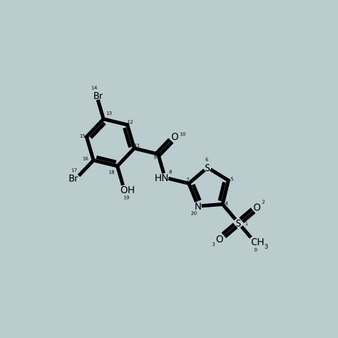 CS(=O)(=O)c1csc(NC(=O)c2cc(Br)cc(Br)c2O)n1